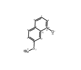 CC(C)(C)Sc1ccc2ccc[n+]([O-])c2c1